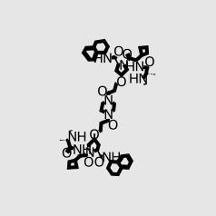 CN[C@@H](C)C(=O)NC(C(=O)N1C[C@@H](OCCC(=O)N2CCN(C(=O)CCO[C@H]3C[C@@H](C(=O)N[C@@H]4CCCc5ccccc54)N(C(=O)C(NC(=O)[C@H](C)NC)C4CCC4)C3)CC2)C[C@H]1C(=O)N[C@@H]1CCCc2ccccc21)C1CCC1